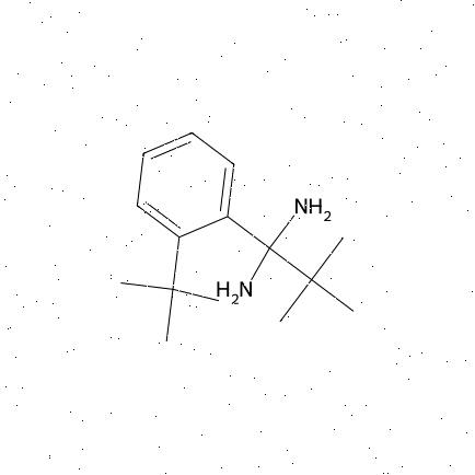 CC(C)(C)c1ccccc1C(N)(N)C(C)(C)C